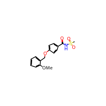 COc1ccccc1COc1ccc(C(=O)NS(C)(=O)=O)cc1